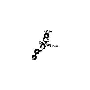 COCCN1C(=O)N(Cc2cccc(OC)c2)C(=O)C12CCN(Cc1cccc(C3C=CSC3)c1)CC2